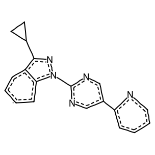 [c]1ccc2c(C3CC3)nn(-c3ncc(-c4ccccn4)cn3)c2c1